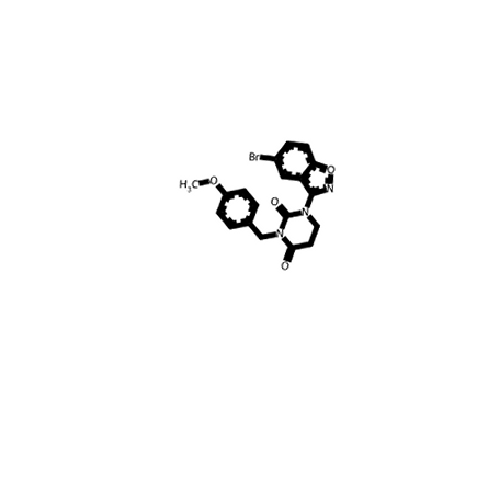 COc1ccc(CN2C(=O)CCN(c3noc4ccc(Br)cc34)C2=O)cc1